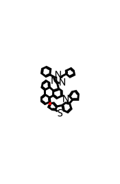 c1ccc(-c2nc(-c3ccccc3)nc(-c3cc(-n4c5ccccc5c5ccc6sc7ccccc7c6c54)cc4c5ccccc5c5ccccc5c34)n2)cc1